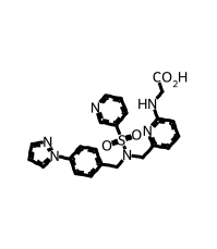 O=C(O)CNc1cccc(CN(Cc2ccc(-n3cccn3)cc2)S(=O)(=O)c2cccnc2)n1